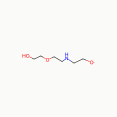 [O]CCNCCOCCO